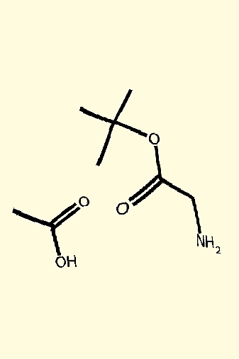 CC(=O)O.CC(C)(C)OC(=O)CN